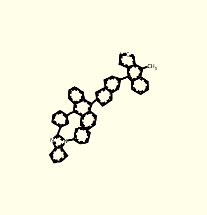 Cc1c2ccccc2c(-c2ccc3cc(-c4c5ccccc5c(-c5cccc(-c6nc7ccccc7n6-c6ccccc6)c5)c5ccccc45)ccc3c2)c2ccccc12